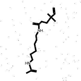 C=CC(C)(C)CCC(=C)NCCCCCCNC(=C)C